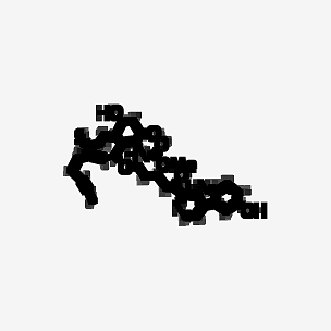 CC#C/C=C\C#C[C@H](OCCCCC(=O)c1nccc2c1[nH]c1ccc(O)cc12)C1=C(NC(=O)OC)C(=O)C[C@H](O)/C1=C/CS(C)=S